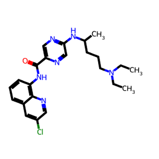 CCN(CC)CCCC(C)Nc1cnc(C(=O)Nc2cccc3cc(Cl)cnc23)cn1